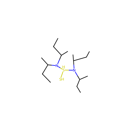 CCC(C)N(C(C)CC)[SH](S)N(C(C)CC)C(C)CC